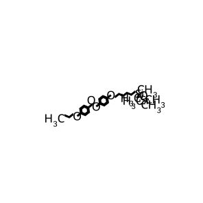 CCCCOc1ccc(C(=O)Oc2ccc(OCCCCCC[Si](C)(C)O[Si](C)(C)C)cc2)cc1